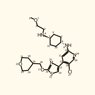 COCCN[C@H]1CC[C@H](Nc2cc(-c3csc(OCC4CCOCC4)n3)c(Cl)cn2)CC1